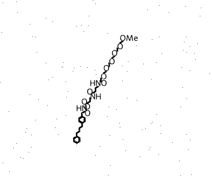 COCCOCCOCCOCCOCCOCC(=O)NCCCC(=O)NCCC(=O)ONC(=O)Cc1ccc(CCCCc2ccccc2)cc1